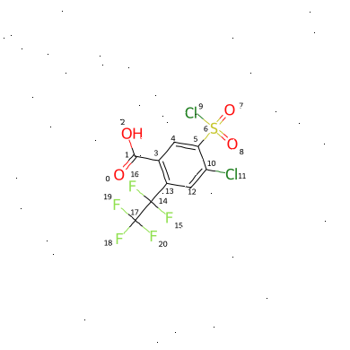 O=C(O)c1cc(S(=O)(=O)Cl)c(Cl)cc1C(F)(F)C(F)(F)F